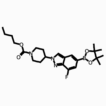 CCCCOC(=O)N1CCC(n2cc3cc(B4OC(C)(C)C(C)(C)O4)cc(F)c3n2)CC1